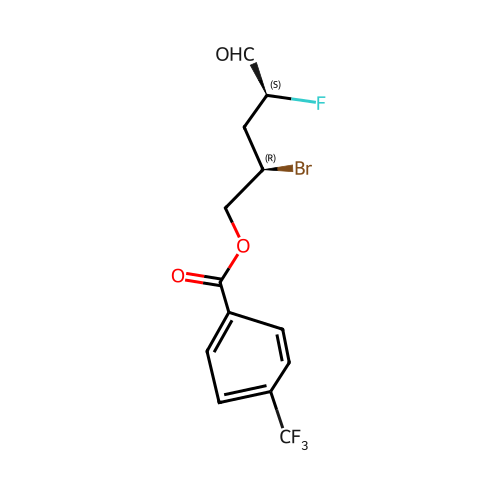 O=C[C@@H](F)C[C@@H](Br)COC(=O)c1ccc(C(F)(F)F)cc1